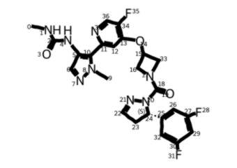 CNC(=O)Nc1cnn(C)c1-c1cc(OC2CN(C(=O)N3N=CC[C@H]3c3cc(F)cc(F)c3)C2)c(F)cn1